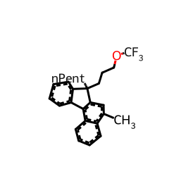 CCCCCC1(CCCOC(F)(F)F)c2ccccc2-c2c1cc(C)c1ccccc21